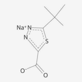 CC(C)(C)c1nnc(C(=O)[O-])s1.[Na+]